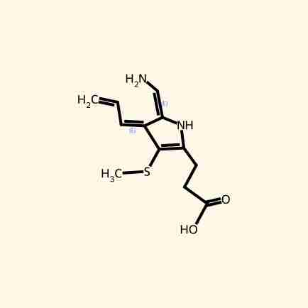 C=C/C=c1/c(SC)c(CCC(=O)O)[nH]/c1=C/N